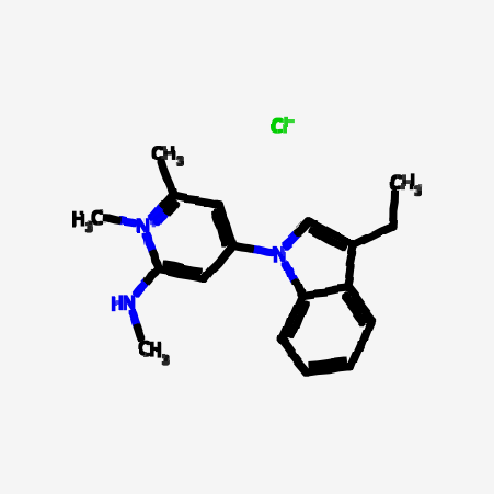 CCc1cn(-c2cc(C)[n+](C)c(NC)c2)c2ccccc12.[Cl-]